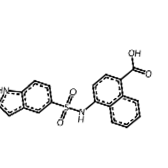 O=C(O)c1ccc(NS(=O)(=O)c2ccc3[nH]ccc3c2)c2ccccc12